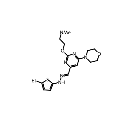 CCc1ccc(NN=Cc2cc(N3CCOCC3)nc(OCCNC)n2)s1